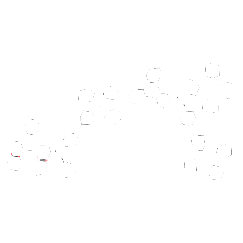 c1ccc(-c2ccc(-c3ccccc3N(c3ccc(-c4ccc5c(c4)-c4ccccc4C54c5ccccc5-c5ccc(-c6ccc7c8ccc(N(c9ccc(-c%10ccc%11c(c%10)-c%10ccccc%10C%11%10c%11ccccc%11-c%11ccccc%11%10)cc9)c9ccc%10c(c9)C(c9ccccc9)(c9ccccc9)c9ccccc9-%10)cc8c8ccccc8c7c6)cc54)cc3)c3ccc4c5ccccc5c5ccccc5c4c3)cc2)cc1